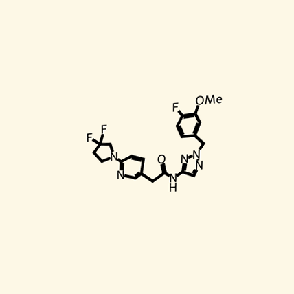 COc1cc(Cn2ncc(NC(=O)Cc3ccc(N4CCC(F)(F)C4)nc3)n2)ccc1F